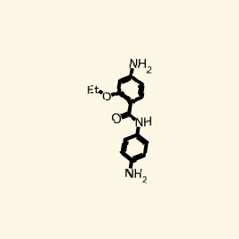 CCOc1cc(N)ccc1C(=O)Nc1ccc(N)cc1